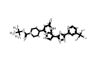 CC(C)(C)OC(=O)N1CCC(c2cc(=O)[nH]c3c(-c4nc(-c5cc(C(F)(F)F)ccn5)no4)cnn23)CC1